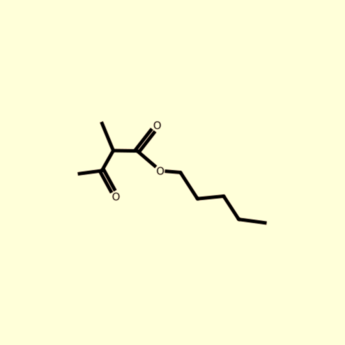 CCCCCOC(=O)C(C)C(C)=O